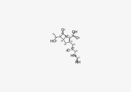 CC(O)C1C(=O)N2C(C(=O)O)=C(C[S+]([O-])CNC=N)CC12